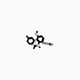 C=C(C)[C@@H]1CCC(C)=C[C@H]1c1c(OC)c[c]cc1OC.[Br][Mg][Br]